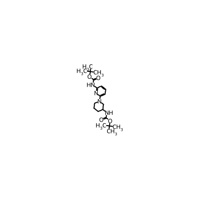 CC(C)(C)OC(=O)Nc1cccc(N2CCCC(NC(=O)OC(C)(C)C)C2)n1